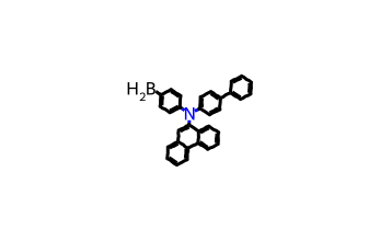 Bc1ccc(N(c2ccc(-c3ccccc3)cc2)c2cc3ccccc3c3ccccc23)cc1